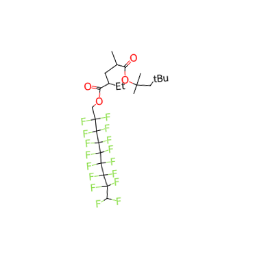 CCC(CC(C)C(=O)OC(C)(C)CC(C)(C)C)C(=O)OCC(F)(F)C(F)(F)C(F)(F)C(F)(F)C(F)(F)C(F)(F)C(F)(F)C(F)F